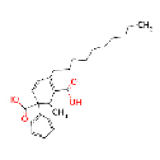 CCCCCCCCCCC1=C(C(=O)O)C(C)C(C(=O)O)(c2ccccc2)C=C1